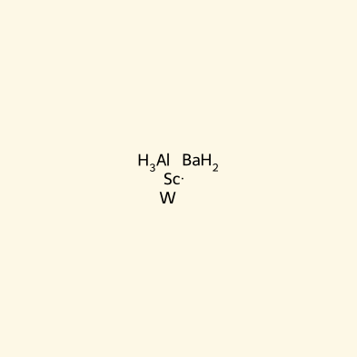 [AlH3].[BaH2].[Sc].[W]